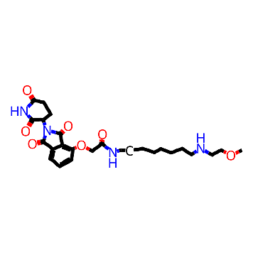 COCCNCCCCCCCCNC(=O)COc1cccc2c1C(=O)N(C1CCC(=O)NC1=O)C2=O